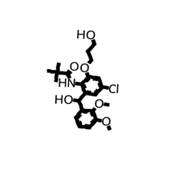 COc1cccc(C(O)c2cc(Cl)cc(OCCCO)c2NC(=O)C(C)(C)C)c1OC